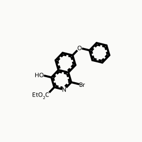 CCOC(=O)c1nc(Br)c2cc(Oc3ccccc3)ccc2c1O